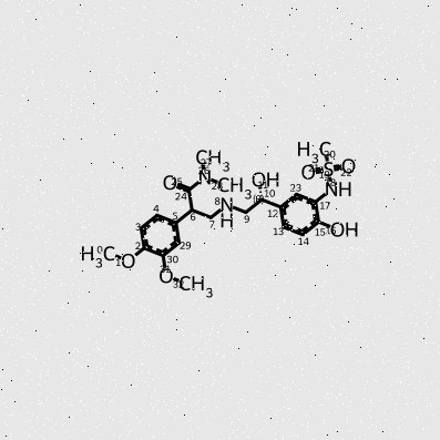 COc1ccc(C(CNC[C@H](O)c2ccc(O)c(NS(C)(=O)=O)c2)C(=O)N(C)C)cc1OC